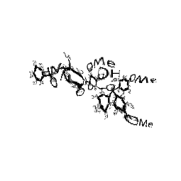 COc1ccc(C(OC[C@H]2O[C@@H](n3cc(C)c(NC(=O)c4ccccc4)nc3=O)[C@H](OC)[C@@H]2O)(c2ccccc2)c2ccc(OC)cc2)cc1